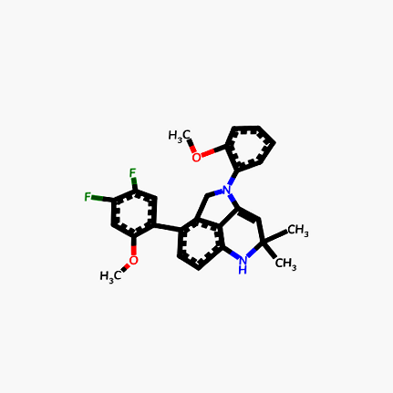 COc1cc(F)c(F)cc1-c1ccc2c3c1CN(c1ccccc1OC)C3=CC(C)(C)N2